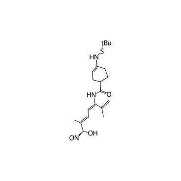 C=C(C)/C(=C\C=C(/C)[C@@H](O)N=O)NC(=O)C1CC=C(NSC(C)(C)C)CC1